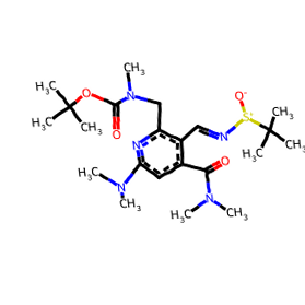 CN(C)C(=O)c1cc(N(C)C)nc(CN(C)C(=O)OC(C)(C)C)c1/C=N/[S+]([O-])C(C)(C)C